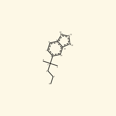 CCCC(C)(C)c1ccc2nsnc2c1